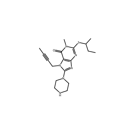 CC#CCn1c(N2CCNCC2)nc2nc(SC(C)CC)n(C)c(=O)c21